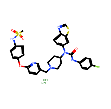 CS(=O)(=O)Nc1ccc(Oc2ccc(CN3CCC(N(C(=O)Nc4ccc(F)cc4)c4ccc5ncsc5c4)CC3)cn2)cc1.Cl.Cl